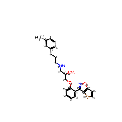 Cc1cccc(CCCNCC(O)COc2ccccc2-c2noc3ccsc23)c1